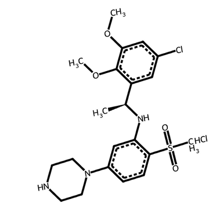 COc1cc(Cl)cc([C@H](C)Nc2cc(N3CCNCC3)ccc2S(C)(=O)=O)c1OC.Cl